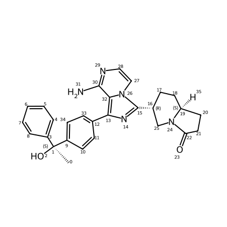 C[C@](O)(c1ccccc1)c1ccc(-c2nc([C@@H]3CC[C@H]4CCC(=O)N4C3)n3ccnc(N)c23)cc1